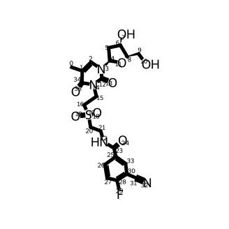 Cc1cn([C@H]2C[C@H](O)[C@@H](CO)O2)c(=O)n(CCS(=O)(=O)CCNC(=O)c2ccc(F)c(C#N)c2)c1=O